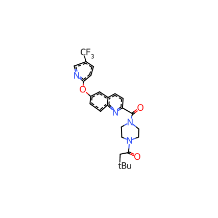 CC(C)(C)CC(=O)N1CCN(C(=O)c2ccc3cc(Oc4ccc(C(F)(F)F)cn4)ccc3n2)CC1